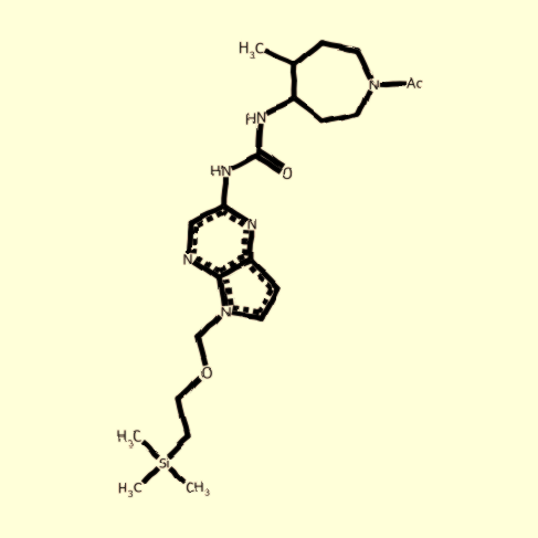 CC(=O)N1CCC(C)C(NC(=O)Nc2cnc3c(ccn3COCC[Si](C)(C)C)n2)CC1